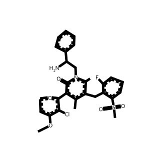 COc1cccc(-c2c(C)c(Cc3c(F)cccc3S(C)(=O)=O)c(C)n(CC(N)c3ccccc3)c2=O)c1Cl